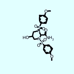 COc1ccc(S(=O)(=O)N2CC(O)CN(S(=O)(=O)c3ccc(OC)cc3)C2C(N)=O)cc1